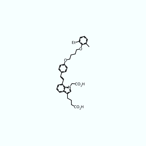 CCc1cccc(C)c1OCCCCOc1ccc(C=Cc2cccc3c(CCCC(=O)O)cn(CC(=O)O)c23)cc1